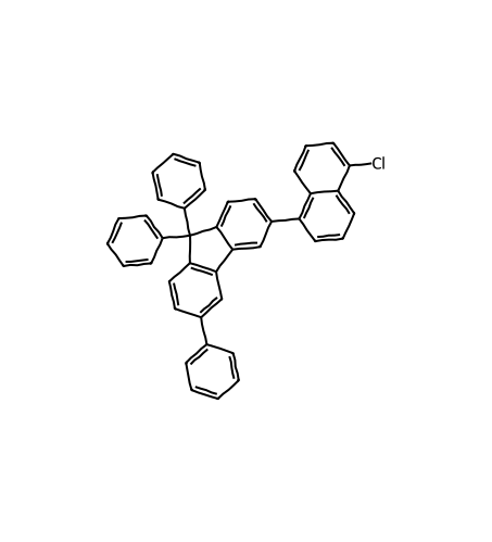 Clc1cccc2c(-c3ccc4c(c3)-c3cc(-c5ccccc5)ccc3C4(c3ccccc3)c3ccccc3)cccc12